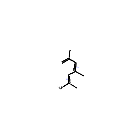 C=C(C)/C=C(C)\C=C(/C)N